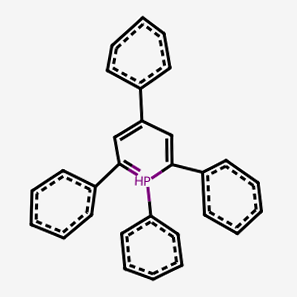 C1=C(c2ccccc2)C=C(c2ccccc2)[PH](c2ccccc2)=C1c1ccccc1